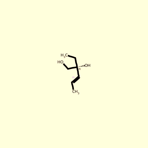 C/C=C/[C@](O)(CC)CO